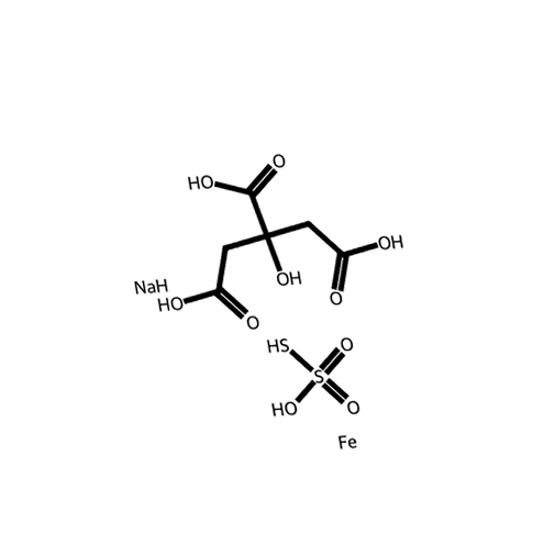 O=C(O)CC(O)(CC(=O)O)C(=O)O.O=S(=O)(O)S.[Fe].[NaH]